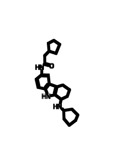 O=C(CC1CCCC1)Nc1ccc2[nH]c3c(c2c1)CCCC3NC1CCCCC1